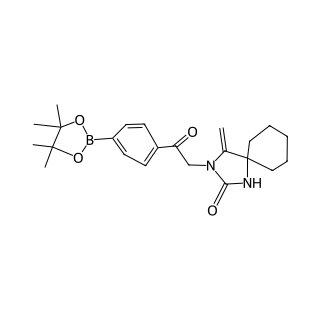 C=C1N(CC(=O)c2ccc(B3OC(C)(C)C(C)(C)O3)cc2)C(=O)NC12CCCCC2